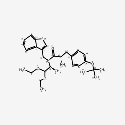 CCOC(OCC)[C@H](C)N(Cc1csc2ccccc12)C(=O)[C@@H](N)Cc1ccc(OC(C)(C)C)cc1